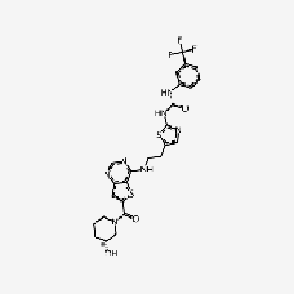 O=C(Nc1cccc(C(F)(F)F)c1)Nc1ncc(CCNc2ncnc3cc(C(=O)N4CCC[C@@H](O)C4)sc23)s1